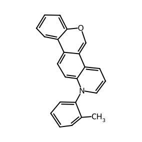 Cc1ccccc1N1C=CC=c2c1ccc1c2=COc2ccccc2-1